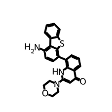 Nc1ccc(-c2cccc3c(=O)cc(N4CCOCC4)[nH]c23)c2sc3ccccc3c12